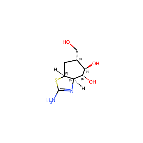 NC1=N[C@@H]2[C@@H](O)[C@H](O)[C@@H](CO)C[C@@H]2S1